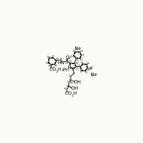 CC(C)n1c(CC[C@@H](O)C[C@@H](O)CC(=O)O)c(-c2ccc(F)cc2)c(-c2ccccc2)c1C(=O)NCc1cccc(C(=O)O)c1.[Na].[Na]